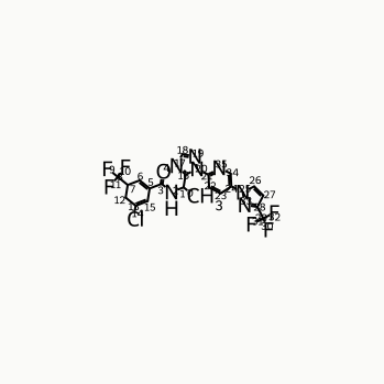 CC(NC(=O)C1=CC(C(F)(F)F)CC(Cl)=C1)c1ncnn1-c1ccc(-n2ccc(C(F)(F)F)n2)cn1